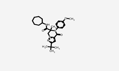 COc1ccc(N2C(=O)c3cc(C(C)(C)C)nn3CC2(C)C(=O)NC2CCCCCC2)cc1